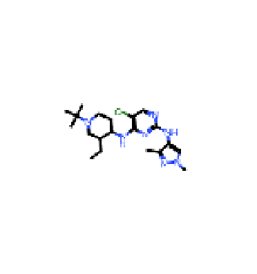 CCC1CN(C(C)(C)C)CCC1Nc1nc(Nc2cn(C)nc2C)ncc1Cl